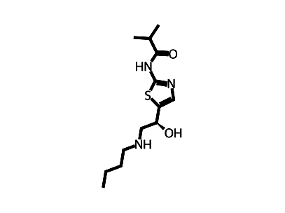 CCCCNC[C@H](O)c1cnc(NC(=O)C(C)C)s1